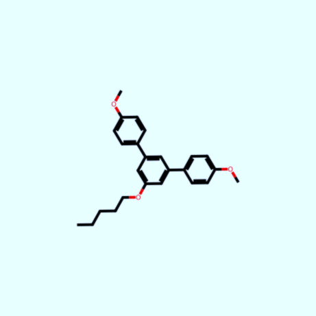 CCCCCOc1cc(-c2ccc(OC)cc2)cc(-c2ccc(OC)cc2)c1